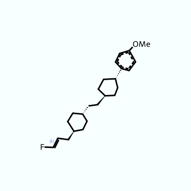 COc1ccc([C@H]2CC[C@H](CC[C@H]3CC[C@H](C/C=C/F)CC3)CC2)cc1